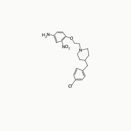 Nc1ccc(OCCN2CCC(Cc3ccc(Cl)cc3)CC2)c([N+](=O)[O-])c1